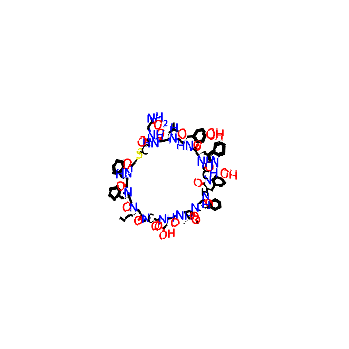 CCCC[C@H]1C(=O)N(C)CC(=O)N[C@@H](CC(=O)O)C(=O)N[C@@H]([C@@H](C)OC)C(=O)N(C)[C@@H](Cc2ccccc2)C(=O)N[C@H]2Cc3ccc(O)cc3N(CC(=O)N[C@@H](Cc3c[nH]c4ccccc34)C(=O)N[C@@H](Cc3ccc(O)cc3)C(=O)N[C@@H](CC(C)C)C(=O)N[C@H](C(=O)NCC(N)=O)CSCC(=O)N[C@@H](Cc3ccccc3)C(=O)N(C)[C@@H](Cc3ccccc3)C(=O)N1C)C2=O